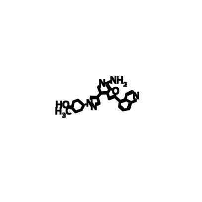 C[C@]1(O)CC[C@H](n2cc(-c3cnc(N)c4oc(-c5cccc6cnccc56)cc34)cn2)CC1